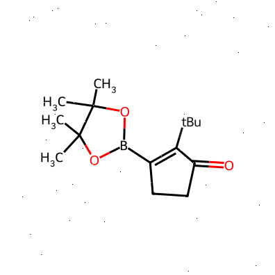 CC(C)(C)C1=C(B2OC(C)(C)C(C)(C)O2)CCC1=O